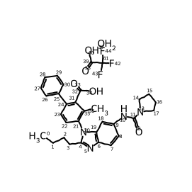 CCCCc1nc2ccc(NC(=O)N3CCCC3)cc2n1-c1ccc(-c2ccccc2)c(C(=O)O)c1C.O.O=C(O)C(F)(F)F